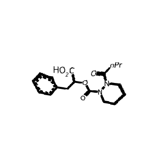 CCCC(=O)N1CCCCN1C(=O)OC(Cc1ccccc1)C(=O)O